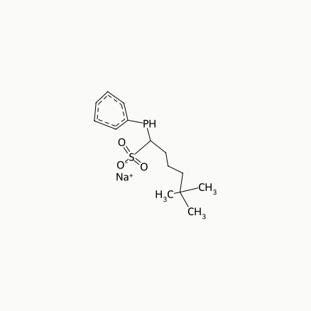 CC(C)(C)CCCC(Pc1ccccc1)S(=O)(=O)[O-].[Na+]